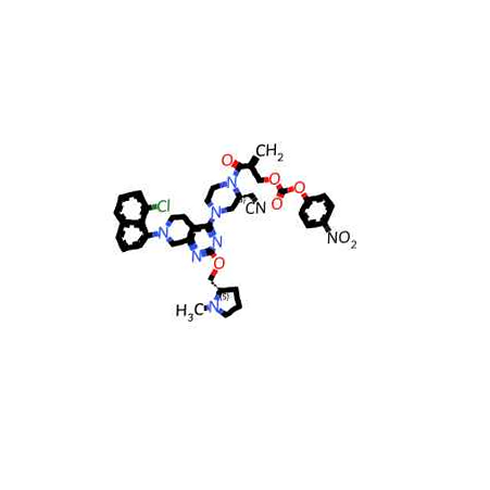 C=C(COC(=O)Oc1ccc([N+](=O)[O-])cc1)C(=O)N1CCN(c2nc(OC[C@@H]3CCCN3C)nc3c2CCN(c2cccc4cccc(Cl)c24)C3)C[C@@H]1CC#N